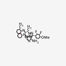 COc1ccc(-c2nn(C(C)/C(=N/c3ccccc3C)N(C=O)c3ccccc3)c3ncnc(N)c23)c(F)c1F